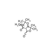 COC(=O)[C@@H]1C(=C=O)OC(C)(C)N1OC(C)(C)C